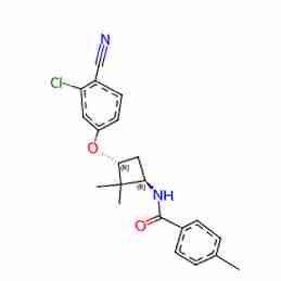 Cc1ccc(C(=O)N[C@@H]2C[C@@H](Oc3ccc(C#N)c(Cl)c3)C2(C)C)cc1